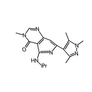 Cc1nn(C)c(C)c1-c1cc2ncn(C)c(=O)c2c(NC(C)C)n1